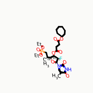 CCOP(=O)(C[C@@H](C)[C@H]1O[C@@H](n2cc(C)c(=O)[nH]c2=O)[C@H](F)[C@@H]1OC(=O)CCC(=O)OC1CCCCCC1)OCC